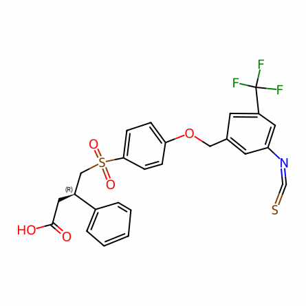 O=C(O)C[C@@H](CS(=O)(=O)c1ccc(OCc2cc(N=C=S)cc(C(F)(F)F)c2)cc1)c1ccccc1